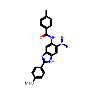 CCN(CC)c1cc2[nH]c(-c3ccc(OC)cc3)nc2cc1NC(=O)c1ccc(C)cc1